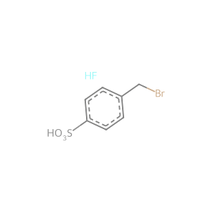 F.O=S(=O)(O)c1ccc(CBr)cc1